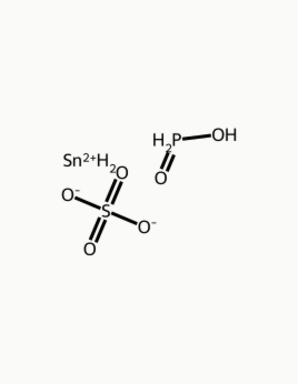 O=S(=O)([O-])[O-].O=[PH2]O.[SnH2+2]